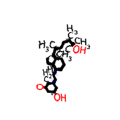 C=C1C(=O)C[C@H](O)C/C1=C/C=C1\CCC[C@]2(C)[C@@H]([C@H](C)CC[C@@H](C)C(C)(C)O)CC[C@@H]12